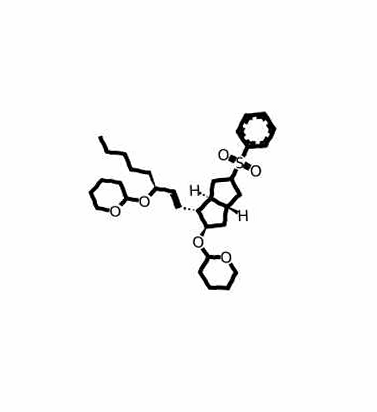 CCCCC[C@@H](C=C[C@@H]1[C@H]2CC(S(=O)(=O)c3ccccc3)C[C@@H]2C[C@H]1OC1CCCCO1)OC1CCCCO1